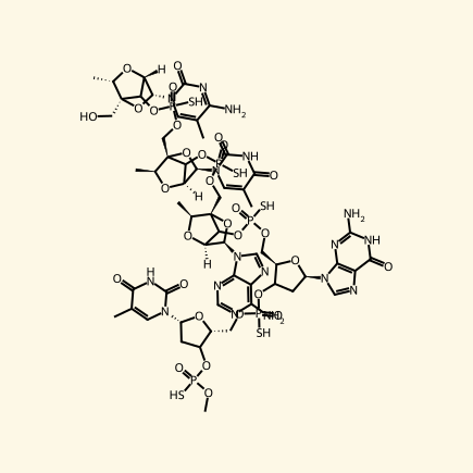 COP(=O)(S)OC1C[C@H](n2cc(C)c(=O)[nH]c2=O)O[C@@H]1COP(=O)(S)OC1C[C@H](n2cnc3c(=O)[nH]c(N)nc32)O[C@@H]1COP(=O)(S)OC1[C@@H]2O[C@@H](C)[C@]1(COP(=O)(S)OC1[C@@H]3O[C@@H](C)[C@]1(COP(=O)(S)OC1[C@@H]4O[C@@H](C)[C@]1(CO)O[C@H]4n1cc(C)c(N)nc1=O)O[C@H]3n1cc(C)c(=O)[nH]c1=O)O[C@H]2n1cnc2c(N)ncnc21